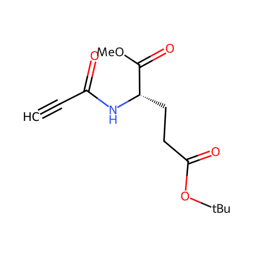 C#CC(=O)N[C@@H](CCC(=O)OC(C)(C)C)C(=O)OC